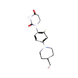 O=C1CCN(c2ccc(N3CCC(CO)CC3)cc2F)C(=O)N1